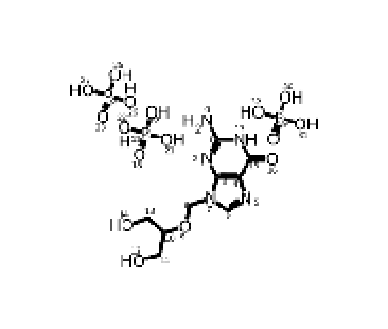 Nc1nc2c(ncn2COC(CO)CO)c(=O)[nH]1.O=P(O)(O)O.O=P(O)(O)O.O=P(O)(O)O